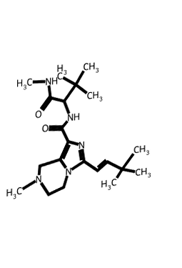 CNC(=O)C(NC(=O)c1nc(C=CC(C)(C)C)n2c1CN(C)CC2)C(C)(C)C